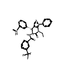 CCN1C(=O)[C@@H](NC(=O)c2cccc(C(F)(F)F)c2)[C@H](c2cccc(NC)c2)c2cnn(-c3ccccc3)c21